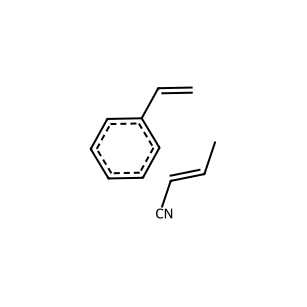 C=Cc1ccccc1.CC=CC#N